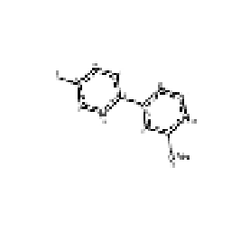 COc1cc(-c2ccc(C)cn2)ccn1